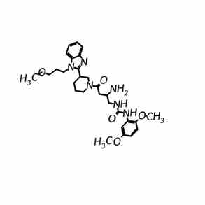 COCCCn1c(C2CCCN(C(=O)CC(N)CNC(=O)Nc3cc(OC)ccc3OC)C2)nc2ccccc21